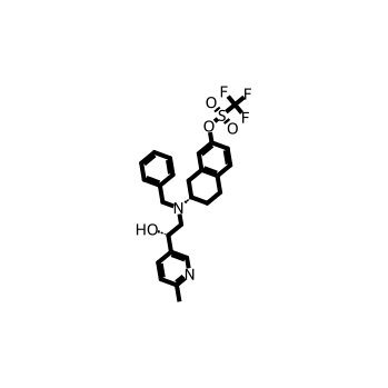 Cc1ccc([C@H](O)CN(Cc2ccccc2)[C@H]2CCc3ccc(OS(=O)(=O)C(F)(F)F)cc3C2)cn1